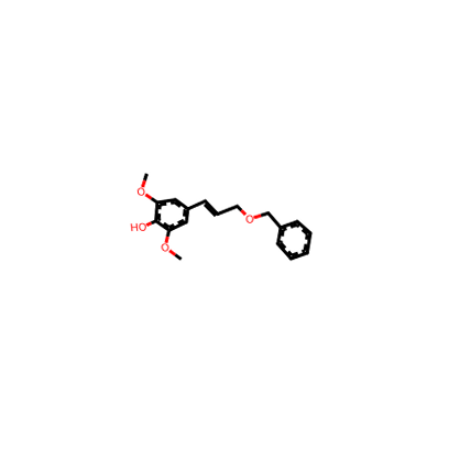 COc1cc(/C=C/COCc2ccccc2)cc(OC)c1O